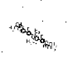 C=C(C)C(=O)Oc1ccc(-c2ccc(COc3c(C)cc(-c4ccc(OC(=O)C(=C)C)cc4F)cc3C)cc2F)cc1